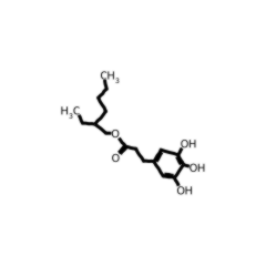 CCCCC(CC)COC(=O)CCc1cc(O)c(O)c(O)c1